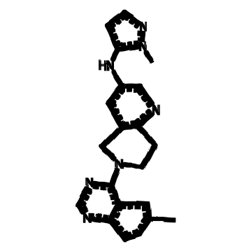 Cc1ccc2ncnc(N3CCc4ncc(Nc5ccnn5C)cc4C3)c2c1